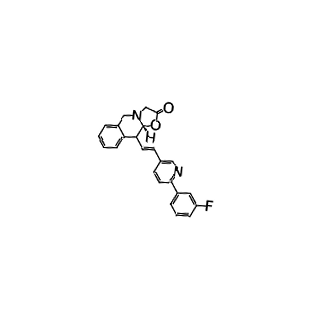 O=C1CN2Cc3ccccc3C(/C=C/c3ccc(-c4cccc(F)c4)nc3)[C@H]2O1